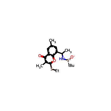 CCSc1oc2c(C(C)N[S@+]([O-])C(C)(C)C)cc(C)cc2c(=O)c1C